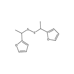 CC(SSC(C)c1ccco1)c1ccco1